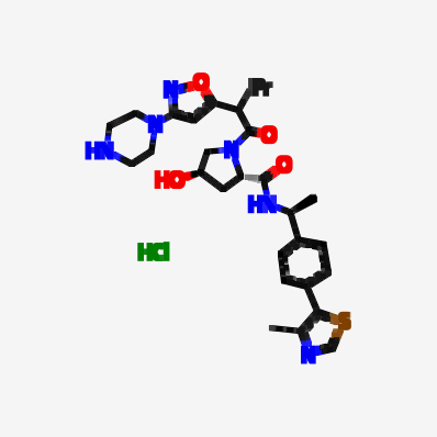 Cc1ncsc1-c1ccc([C@H](C)NC(=O)[C@@H]2C[C@@H](O)CN2C(=O)C(c2cc(N3CCNCC3)no2)C(C)C)cc1.Cl